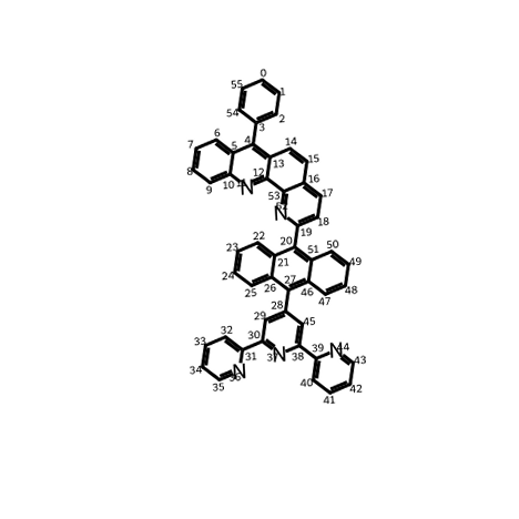 c1ccc(-c2c3ccccc3nc3c2ccc2ccc(-c4c5ccccc5c(-c5cc(-c6ccccn6)nc(-c6ccccn6)c5)c5ccccc45)nc23)cc1